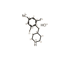 Cl.N#Cc1cc(F)c(CC2CCNCC2)c(F)c1